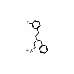 [CH2]CCN(CCc1cccc(F)c1)Cc1ccccc1